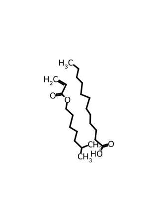 C=CC(=O)OCCCCCC(C)C.CCCCCCCCCCCC(=O)O